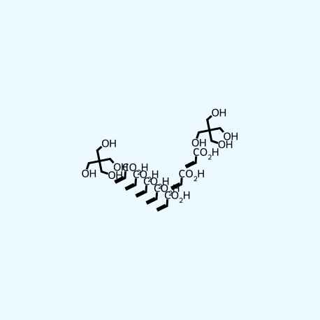 C=CC(=O)O.C=CC(=O)O.C=CC(=O)O.C=CC(=O)O.C=CC(=O)O.C=CC(=O)O.C=CC(=O)O.OCC(CO)(CO)CO.OCC(CO)(CO)CO